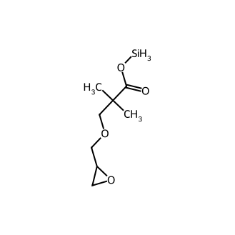 CC(C)(COCC1CO1)C(=O)O[SiH3]